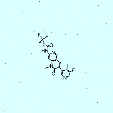 Cc1c(F)cncc1-c1cc2cnc(NC(=O)[C@@H]3CC3(F)F)cc2n(C)c1=O